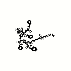 NCCCCCC(=O)NCCCCCC(=O)N[C@@H](CCC(=O)N[C@@H](CCCOP(=O)(O)N[C@@H](CCC(=O)OCc1ccccc1)C(=O)OCc1ccccc1)C(=O)OCc1ccccc1)C(=O)OCc1ccccc1